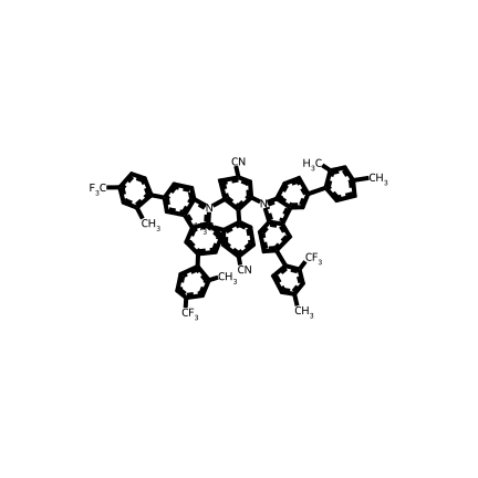 Cc1ccc(-c2ccc3c(c2)c2cc(-c4ccc(C)cc4C(F)(F)F)ccc2n3-c2cc(C#N)cc(-n3c4ccc(-c5ccc(C(F)(F)F)cc5C)cc4c4cc(-c5ccc(C(F)(F)F)cc5C)ccc43)c2-c2ccc(C#N)cc2C)c(C)c1